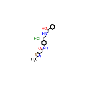 Cc1nc(CC(=O)Nc2ccc(CCNC[C@H](O)c3ccccc3)cc2)cs1.Cl